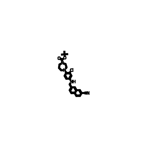 CC(C)(C)OC(=O)N1CCCN(c2ccc(NCc3ccc4ccc(C#N)cc4c3)cc2Cl)CC1